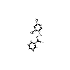 O=C(COc1ccc(Cl)cc1Cl)c1cccnc1